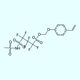 C=Cc1ccc(OCOS(=O)(=O)C(F)(F)C(F)(F)C(F)(F)S(=O)(=O)NS(C)(=O)=O)cc1